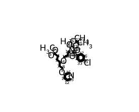 COC(=O)CCC(CCOc1cccnc1)OCCCN(C(=O)OC(C)(C)C)S(=O)(=O)c1ccc(Cl)cc1